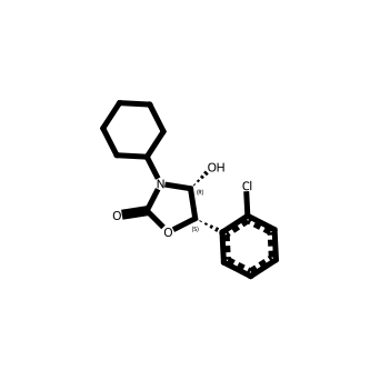 O=C1O[C@@H](c2ccccc2Cl)[C@@H](O)N1C1CCCCC1